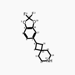 FC1(F)Oc2ccc(C3CC4(CCNCC4)C3)cc2O1